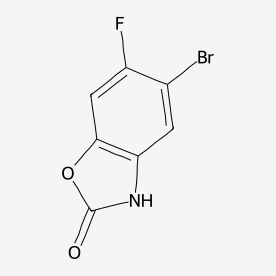 O=c1[nH]c2cc(Br)c(F)cc2o1